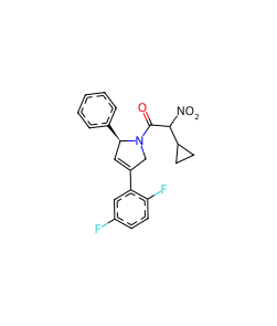 O=C(C(C1CC1)[N+](=O)[O-])N1CC(c2cc(F)ccc2F)=C[C@H]1c1ccccc1